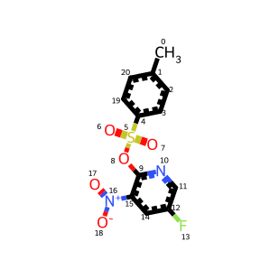 Cc1ccc(S(=O)(=O)Oc2ncc(F)cc2[N+](=O)[O-])cc1